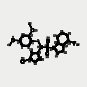 COc1ccc(CN(c2ncc(Cl)s2)S(=O)(=O)n2ncc3c(F)cccc32)c(OC)c1